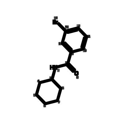 O=C(NC1CCCCC1)c1[c]ccc(Br)c1